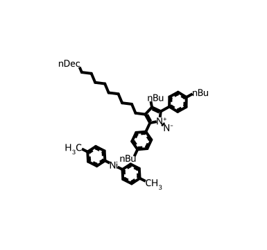 CCCCCCCCCCCCCCCCCCCC1=C(c2ccc(CCCC)cc2)[N+](=[N-])C(c2ccc(CCCC)cc2)=C1CCCC.Cc1cc[c]([Ni][c]2ccc(C)cc2)cc1